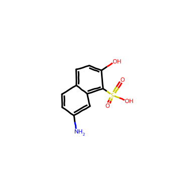 Nc1ccc2ccc(O)c(S(=O)(=O)O)c2c1